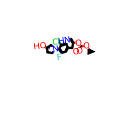 O=C(Oc1c[nH]c2c(Cl)c(N3CC[C@@H](O)C3)c(F)cc2c1=O)OC1CC1